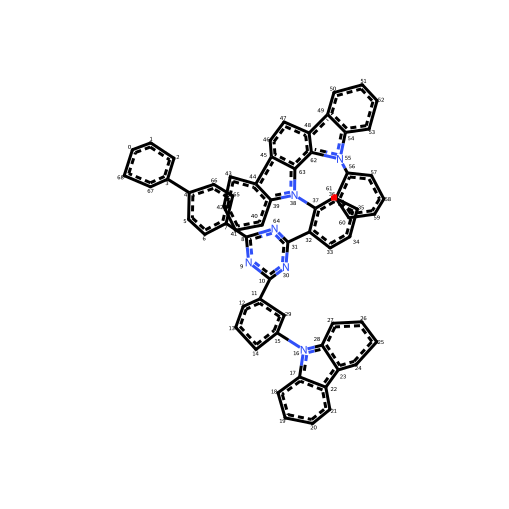 c1ccc(-c2ccc(-c3nc(-c4cccc(-n5c6ccccc6c6ccccc65)c4)nc(-c4ccccc4-n4c5ccccc5c5ccc6c7ccccc7n(-c7ccccc7)c6c54)n3)cc2)cc1